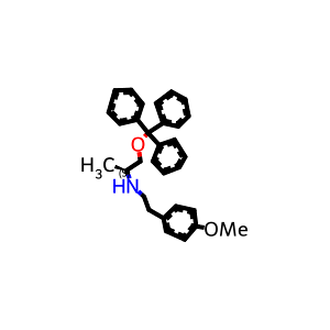 COc1ccc(CCN[C@@H](C)COC(c2ccccc2)(c2ccccc2)c2ccccc2)cc1